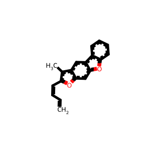 C=C/C=C\c1oc2cc3oc4ccccc4c3cc2c1C